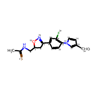 CC(=S)NCC1CC(c2ccc(-n3ccc(C=O)c3)c(F)c2)=NO1